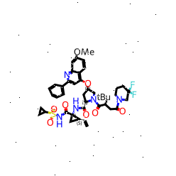 C=C[C@@H]1C[C@]1(NC(=O)[C@@H]1C[C@@H](Oc2cc(-c3ccccc3)nc3cc(OC)ccc23)CN1C(=O)C(CC(=O)N1CCCC(F)(F)C1)C(C)(C)C)C(=O)NS(=O)(=O)C1CC1